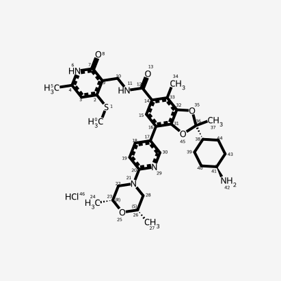 CSc1cc(C)[nH]c(=O)c1CNC(=O)c1cc(-c2ccc(N3C[C@@H](C)O[C@@H](C)C3)nc2)c2c(c1C)OC(C)([C@H]1CC[C@H](N)CC1)O2.Cl